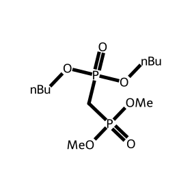 CCCCOP(=O)(CP(=O)(OC)OC)OCCCC